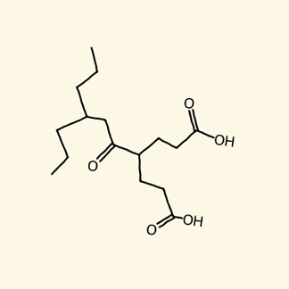 CCCC(CCC)CC(=O)C(CCC(=O)O)CCC(=O)O